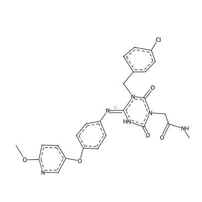 CNC(=O)Cn1c(=O)[nH]/c(=N\c2ccc(Oc3ccc(OC)nc3)cc2)n(Cc2ccc(Cl)cc2)c1=O